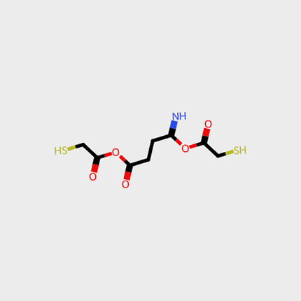 N=C(CCC(=O)OC(=O)CS)OC(=O)CS